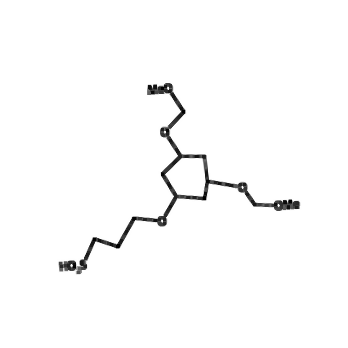 COCOC1CC(OCCCS(=O)(=O)O)CC(OCOC)C1